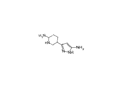 Nc1cc(C2CCC(N)NC2)n[nH]1